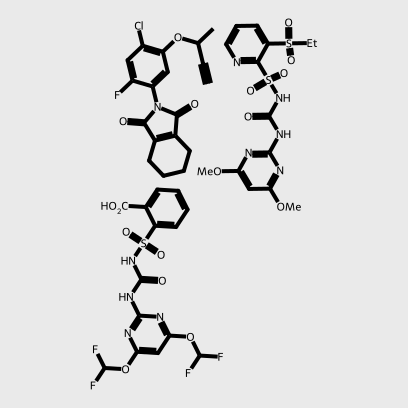 C#CC(C)Oc1cc(N2C(=O)C3=C(CCCC3)C2=O)c(F)cc1Cl.CCS(=O)(=O)c1cccnc1S(=O)(=O)NC(=O)Nc1nc(OC)cc(OC)n1.O=C(Nc1nc(OC(F)F)cc(OC(F)F)n1)NS(=O)(=O)c1ccccc1C(=O)O